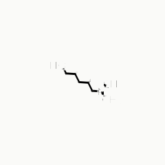 CN(C)CC[CH]CCO